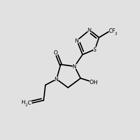 C=CCN1CC(O)N(c2nnc(C(F)(F)F)s2)C1=O